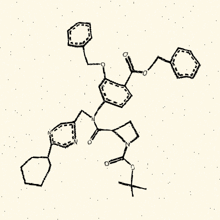 CC(C)(C)OC(=O)N1CC[C@@H]1C(=O)N(Cc1cnc(C2CCCCC2)cn1)c1ccc(C(=O)OCc2ccccc2)c(OCc2ccccc2)c1